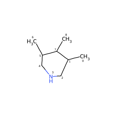 CC1CNCC(C)C1C